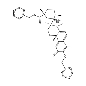 CC[C@]1(C)C2=CC=C3C(=CC(=O)C(OCc4ccccc4)=C3C)[C@]2(C)CC[C@@]1(C)[C@]1(OC)C[C@](C)(C(=O)OCc2ccccc2)CC[C@H]1C